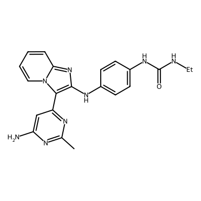 CCNC(=O)Nc1ccc(Nc2nc3ccccn3c2-c2cc(N)nc(C)n2)cc1